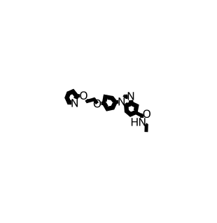 CCNC(=O)c1ccc2c(c1)ncn2-c1ccc(OCCOc2ccccn2)cc1